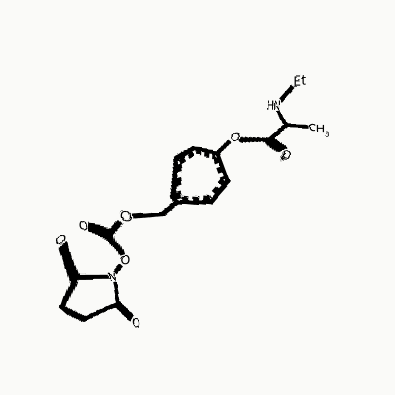 CCNC(C)C(=O)Oc1ccc(COC(=O)ON2C(=O)CCC2=O)cc1